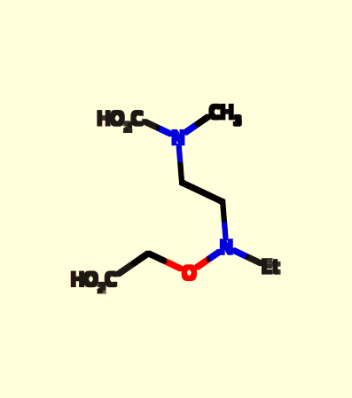 CCN(CCN(C)C(=O)O)OCC(=O)O